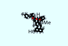 C#Cc1c(F)ccc2cc(O)cc(-c3nc(OC)c4c(N5CC6CCC(C5)N6C(=O)NCC(F)F)nc(OCC5(CN6CCC(F)CC6)CC5)nc4c3F)c12